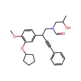 COc1ccc(C(C#Cc2ccccc2)CN(C=O)CC(C)O)cc1OC1CCCC1